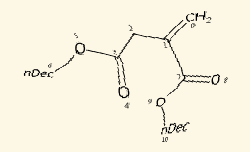 C=C(CC(=O)OCCCCCCCCCC)C(=O)OCCCCCCCCCC